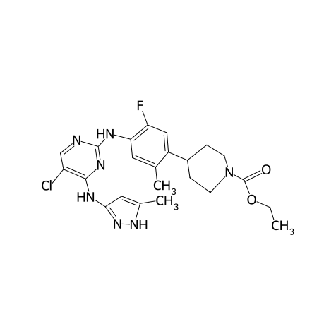 CCOC(=O)N1CCC(c2cc(F)c(Nc3ncc(Cl)c(Nc4cc(C)[nH]n4)n3)cc2C)CC1